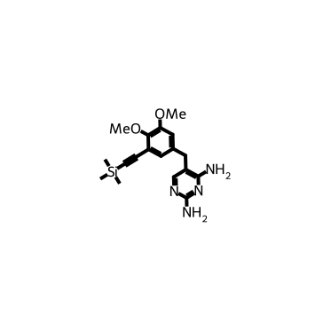 COc1cc(Cc2cnc(N)nc2N)cc(C#C[Si](C)(C)C)c1OC